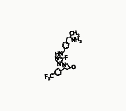 C=C(N)Cc1ccc(CNc2ncnc(N3CC(=O)CC3c3ccc(C(F)(F)F)cc3)c2F)cc1